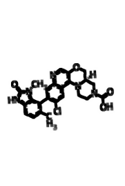 Cc1ccc2[nH]c(=O)n(C)c2c1-c1cc2ncc3c(c2cc1Cl)N1CCN(C(=O)O)C[C@@H]1CO3